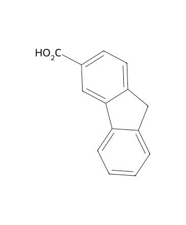 O=C(O)c1ccc2c(c1)-c1ccccc1C2